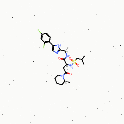 CC(C)CS(=O)(=O)N[C@@H](CC(=O)N1CCCC[C@@H]1C)C(=O)N[C@@H](C)c1ncc(-c2ccc(F)cc2F)[nH]1